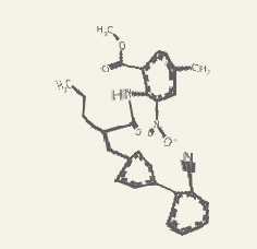 CCCC(Cc1ccc(-c2ccccc2C#N)cc1)C(=O)Nc1c(C(=O)OC)cc(C)cc1[N+](=O)[O-]